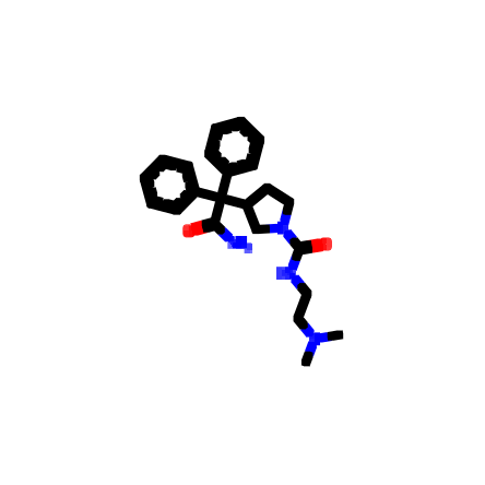 CN(C)CCNC(=O)N1CCC(C(C(N)=O)(c2ccccc2)c2ccccc2)C1